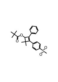 CC(C)(C)C(=O)OC1C(c2ccccc2)=C(c2ccc(S(C)(=O)=O)cc2)C1(C)C